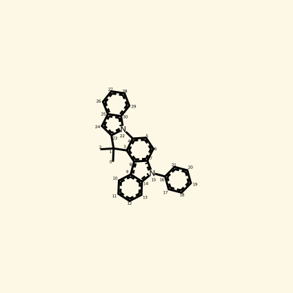 CC1(C)c2c(ccc3c2c2ccccc2n3-c2ccccc2)-n2c1cc1ccccc12